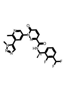 Cc1ncc(-n2nc(C(=O)N[C@H](C)c3cccc(C(F)F)c3F)ccc2=O)cc1-c1cnnn1C